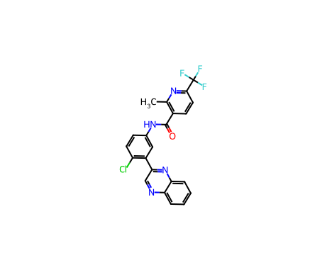 Cc1nc(C(F)(F)F)ccc1C(=O)Nc1ccc(Cl)c(-c2cnc3ccccc3n2)c1